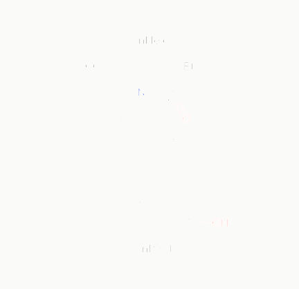 CCCCCCC(C(=O)O)N(Cc1ccc(C(O)CCCCC)cc1)C(=O)CC